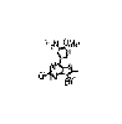 COc1ncc(-c2nc(Cl)nc3c(Br)c(C)sc23)cc1N